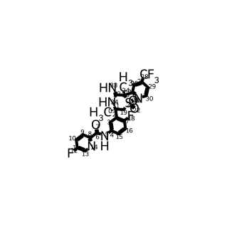 C[C@@]1(c2cc(NC(=O)c3ccc(F)cn3)ccc2F)CS(=O)(=O)[C@@](C)(c2cc(C(F)(F)F)ccn2)C(=N)N1